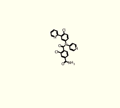 NC(=O)c1ccc(C(=O)N(c2ccncc2)c2ccc(Cl)c(-c3ccccn3)c2)c(Cl)c1